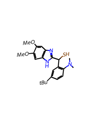 COc1cc2nc(C(S)c3cc(C(C)(C)C)ccc3N(C)C)[nH]c2cc1OC